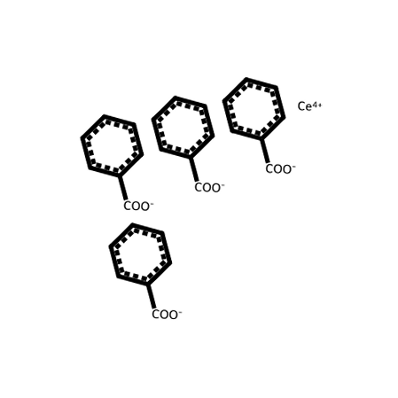 O=C([O-])c1ccccc1.O=C([O-])c1ccccc1.O=C([O-])c1ccccc1.O=C([O-])c1ccccc1.[Ce+4]